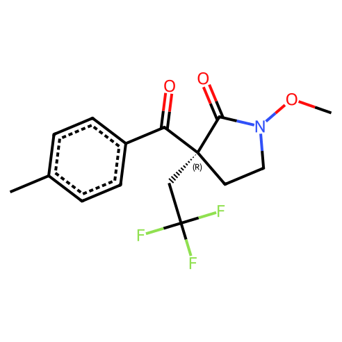 CON1CC[C@@](CC(F)(F)F)(C(=O)c2ccc(C)cc2)C1=O